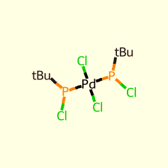 CC(C)(C)[P](Cl)[Pd]([Cl])([Cl])[P](Cl)C(C)(C)C